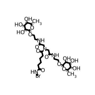 C[C@@H]1O[C@@H](OCCNC(=O)CN(CC(=O)NCCO[C@@H]2O[C@@H](C)[C@@H](O)[C@@H](O)[C@@H]2O)C(=O)CCCCC(=O)NBr)[C@@H](O)[C@H](O)[C@@H]1O